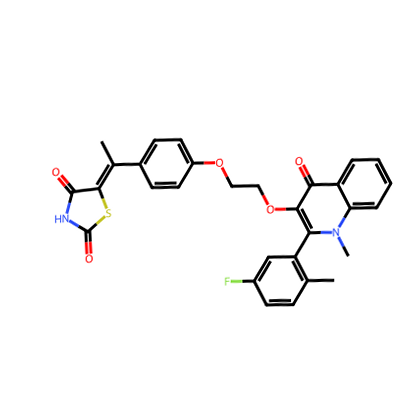 CC(=C1SC(=O)NC1=O)c1ccc(OCCOc2c(-c3cc(F)ccc3C)n(C)c3ccccc3c2=O)cc1